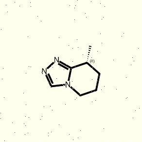 C[C@@H]1CCCn2cnnc21